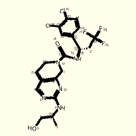 C[C@@H](CO)Nc1ncc2c(n1)CN(C(=O)N[C@@H](CC(F)(F)F)c1ccc(Cl)c(Cl)c1)CC2